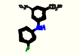 CCOC(=O)c1cc(Nc2cccc(F)c2)cc([N+](=O)[O-])c1